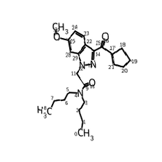 CCCCN(CCCC)C(=O)Cn1nc(C(=O)C2CCCC2)c2ccc(OC)cc21